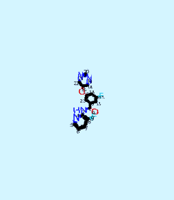 O=C(Nc1ncccc1F)c1cc(F)cc(Oc2cncnc2)c1